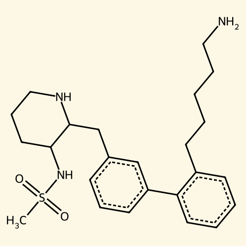 CS(=O)(=O)NC1CCCNC1Cc1cccc(-c2ccccc2CCCCCN)c1